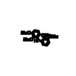 COc1cccc(Pc2cccc(OC)c2OC)c1OC